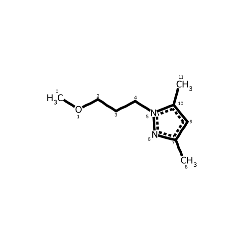 COCCCn1nc(C)cc1C